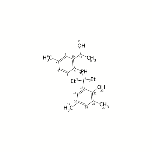 CCC(CC)(Pc1ccc(C)cc1C(C)O)c1cc(C)cc(C)c1O